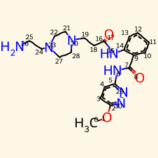 COc1ccc(NC(=O)c2ccccc2NC(=O)CCN2CCN(CCN)CC2)nn1